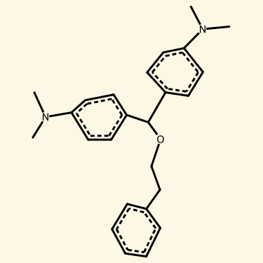 CN(C)c1ccc(C(OCCc2ccccc2)c2ccc(N(C)C)cc2)cc1